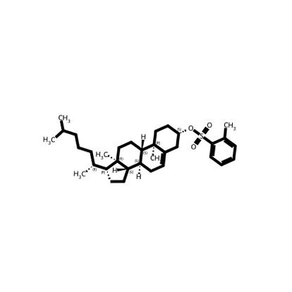 Cc1ccccc1S(=O)(=O)O[C@H]1CC[C@@]2(C)C(=CC[C@H]3[C@@H]4CC[C@H]([C@H](C)CCCC(C)C)[C@@]4(C)CC[C@@H]32)C1